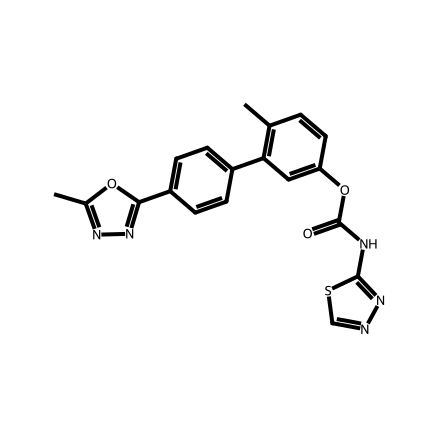 Cc1nnc(-c2ccc(-c3cc(OC(=O)Nc4nncs4)ccc3C)cc2)o1